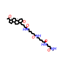 CNC(=O)CCCNC(=O)CCCCCNC(=O)CCCCCNC(=O)CCCC1=C2CCC3C4CCC(C(C)=O)[C@@]4(C)CCC3[C@@]2(C)CCC1=O